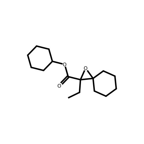 CCC1(C(=O)OC2CCCCC2)OC12CCCCC2